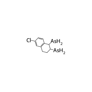 Clc1ccc2c(c1)CCC([AsH2])C2[AsH2]